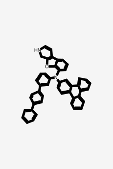 C1=Cc2c(oc3c(N(c4cccc(-c5ccc(-c6ccccc6)cc5)c4)c4ccc5c6ccccc6c6ccccc6c5c4)cccc23)CN1